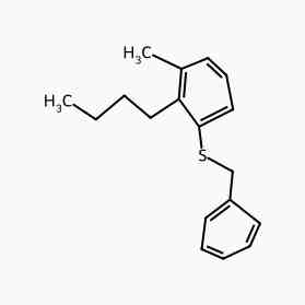 CCCCc1c(C)cccc1SCc1ccccc1